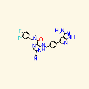 CN(Cc1ccc(F)c(F)c1)C(=O)c1ncc(C#N)nc1NCc1ccc(-c2cnc3[nH]nc(N)c3c2)cc1